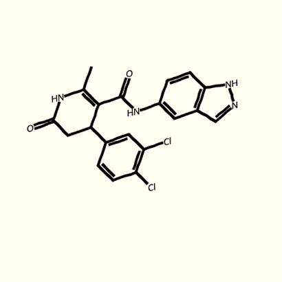 CC1=C(C(=O)Nc2ccc3[nH]ncc3c2)C(c2ccc(Cl)c(Cl)c2)CC(=O)N1